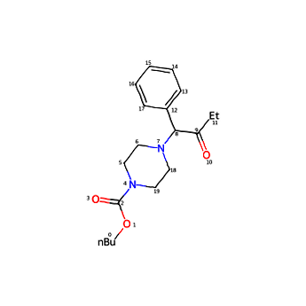 CCCCOC(=O)N1CCN(C(C(=O)CC)c2ccccc2)CC1